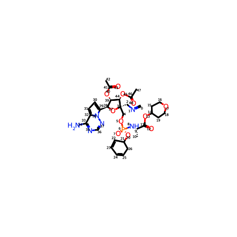 C=NC[C@]1(COP(=O)(N[C@@H](C)C(=O)OC2CCOCC2)OC2C=CC=CC2)O[C@@H](c2ccc3c(N)ncnn23)[C@H](OC(C)=O)[C@@H]1OC(C)=O